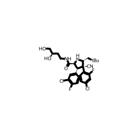 CC(C)(C)C[C@H]1N[C@H](C(=O)NCC[C@@H](O)CO)[C@@H](c2ccc(F)c(Cl)c2)[C@]1(C#N)c1ccc(Cl)cc1F